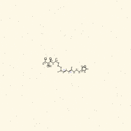 C/C(=C\C=C\C(C)CCCC(C)CC(=O)C(O)C(C)Cl)CCCc1ccoc1